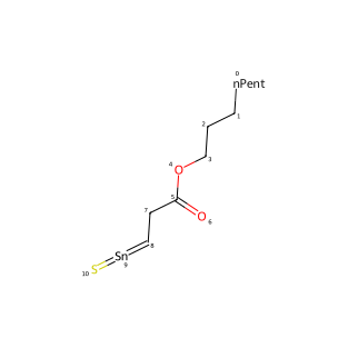 CCCCCCCCOC(=O)C[CH]=[Sn]=[S]